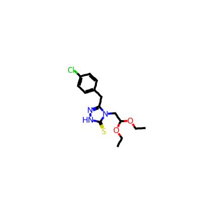 CCOC(Cn1c(Cc2ccc(Cl)cc2)n[nH]c1=S)OCC